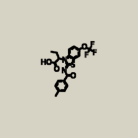 CCC(C(=O)O)n1c(=NC(=O)c2ccc(C)cc2)sc2cc(OC(F)(F)F)ccc21